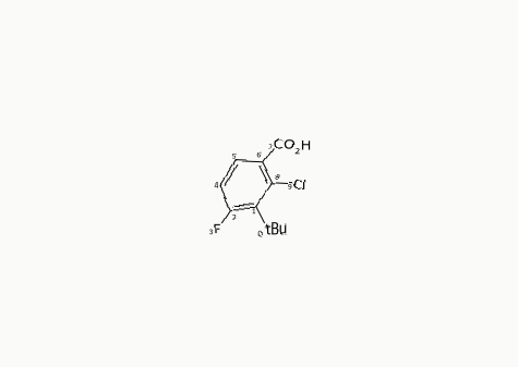 CC(C)(C)c1c(F)ccc(C(=O)O)c1Cl